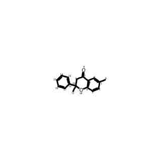 Cc1ccc2c(c1)C(=O)CC(C)(c1ccccc1)O2